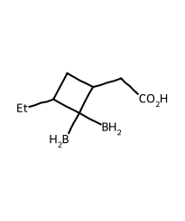 BC1(B)C(CC)CC1CC(=O)O